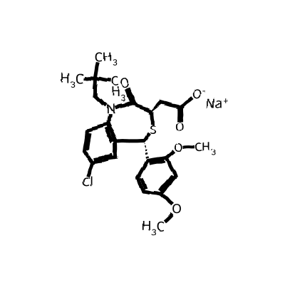 COc1ccc([C@H]2S[C@H](CC(=O)[O-])C(=O)N(CC(C)(C)C)c3ccc(Cl)cc32)c(OC)c1.[Na+]